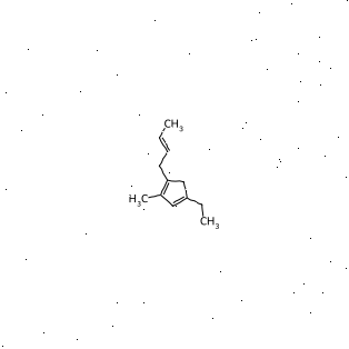 CC=CCC1=C(C)C=C(CC)C1